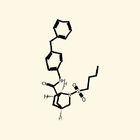 CCCCS(=O)(=O)N1C[C@H]2CC[C@@H]1[C@H](C(=O)Nc1ccc(Cc3ccccc3)cc1)C2